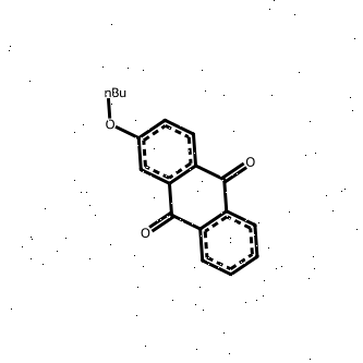 CCCCOc1ccc2c(c1)C(=O)c1ccccc1C2=O